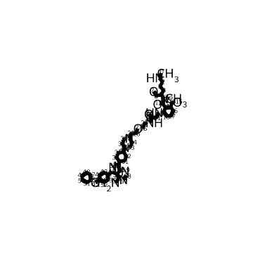 CNCCCC(C=O)N(C)C(=O)c1c(C=O)cccc1NCC(=O)NCCOCCN1CCN(C2CCC(n3nc(-c4ccc(Oc5ccccc5)cc4)c4c(N)ncnc43)CC2)CC1